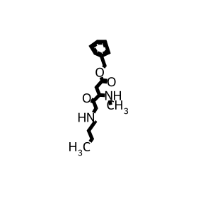 CCCCNCC(=O)C(CC(=O)OCc1ccccc1)NC